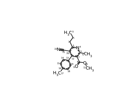 CCCc1nc(C)c(C(=O)OC)c(-c2ccc(C)cc2)c1C#N